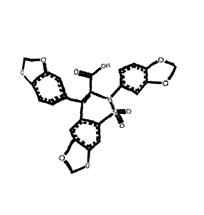 O=C(O)C1=C(c2ccc3c(c2)OCO3)c2cc3c(cc2S(=O)(=O)N1c1ccc2c(c1)OCO2)OCO3